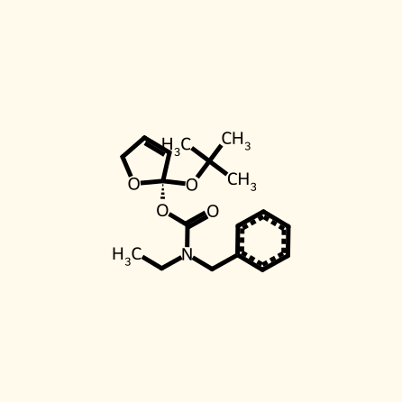 CCN(Cc1ccccc1)C(=O)O[C@@]1(OC(C)(C)C)C=CCO1